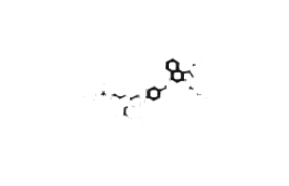 CC(C)[C@H](N)CN[C@@H](CCCNC(N)=O)CNc1ccc(COc2cc3c(c4ccccc24)[C@H](CCl)CN3C(=O)OC(C)(C)C)cc1